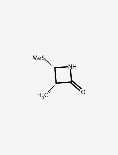 CS[C@@H]1NC(=O)[C@@H]1C